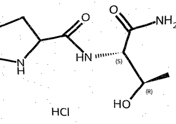 C[C@@H](O)[C@H](NC(=O)C1CCCN1)C(N)=O.Cl